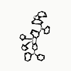 c1ccc(N(c2ccccc2)c2ccc3c(c2)[Si](c2ccccc2)(c2ccccc2)c2ccc(N(c4ccccc4)c4ccc5oc6ccccc6c5c4)cc2-3)cc1